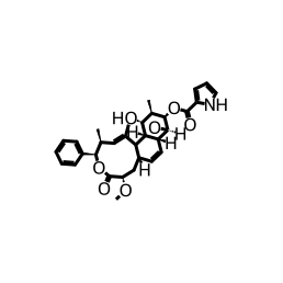 CO[C@H]1C[C@H]2C=C[C@H]3[C@H]4O[C@]2(/C(C)=C/[C@H](C)[C@H](c2ccccc2)OC1=O)[C@@H]3[C@H](O)[C@@H](C)[C@H]4OC(=O)c1ccc[nH]1